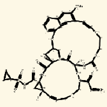 C=CC(=O)N1CCC/C=C\[C@@H]2C[C@@]2(C(=O)NS(=O)(=O)C2CC2)NC(=O)[C@@H]2CC3CN2C(=O)[C@H](C1)NC(=O)OCCC/C=C/c1cc2c(nccc2cc1OC)O3